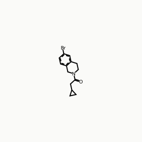 O=C(CC1CC1)N1CCc2cc(Br)ccc2C1